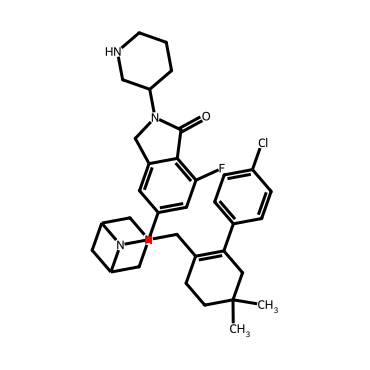 CC1(C)CCC(CN2CC3CC(C2)N3Cc2cc(F)c3c(c2)CN(C2CCCNC2)C3=O)=C(c2ccc(Cl)cc2)C1